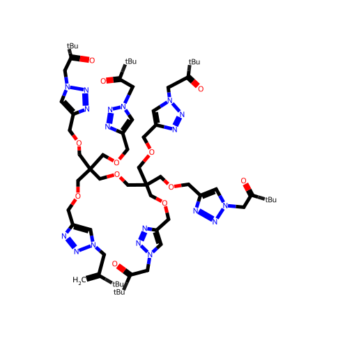 C=C(Cn1cc(COCC(COCc2cn(CC(=O)C(C)(C)C)nn2)(COCc2cn(CC(=O)C(C)(C)C)nn2)COCC(COCc2cn(CC(=O)C(C)(C)C)nn2)(COCc2cn(CC(=O)C(C)(C)C)nn2)COCc2cn(CC(=O)C(C)(C)C)nn2)nn1)C(C)(C)C